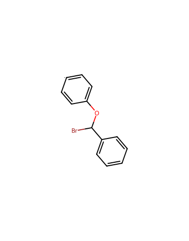 BrC(Oc1cc[c]cc1)c1ccccc1